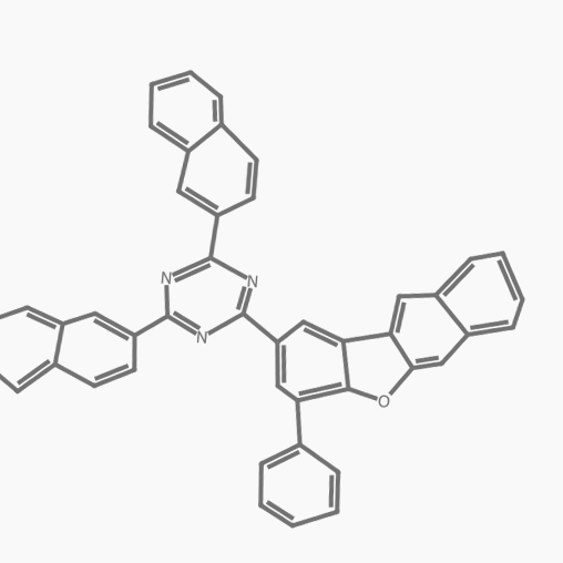 c1ccc(-c2cc(-c3nc(-c4ccc5ccccc5c4)nc(-c4ccc5ccccc5c4)n3)cc3c2oc2cc4ccccc4cc23)cc1